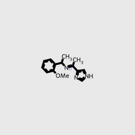 COc1ccccc1C(C)/N=C(\C)c1c[nH]cn1